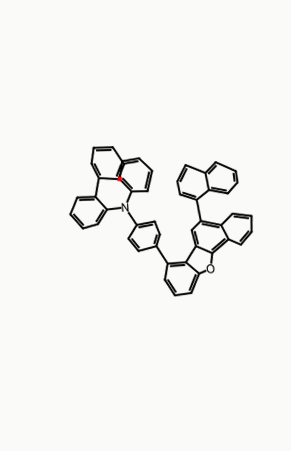 c1ccc(-c2ccccc2N(c2ccccc2)c2ccc(-c3cccc4oc5c6ccccc6c(-c6cccc7ccccc67)cc5c34)cc2)cc1